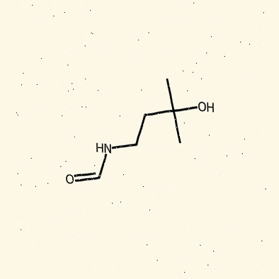 CC(C)(O)CCNC=O